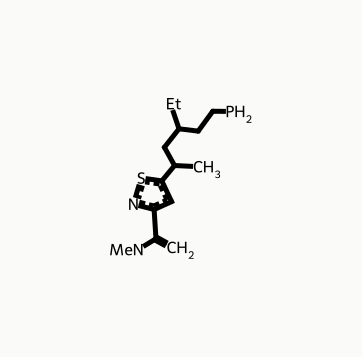 C=C(NC)c1cc(C(C)CC(CC)CCP)sn1